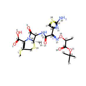 CSC1=C(C(=O)O)N2C(=O)C(NC(=O)/C(=N/OC(C)C(=O)OC(C)(C)C)c3csc(N)n3)[C@H]2SC1